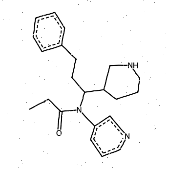 CCC(=O)N(c1cccnc1)C(CCc1ccccc1)C1CCCNC1